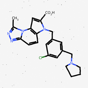 Cc1nnc2ccc3c(cc(C(=O)O)n3Cc3cc(Cl)cc(CN4CCCC4)c3)n12